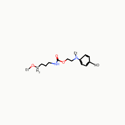 CCO[SiH2]CCCNC(=O)OCCN(CC)c1ccc(N=O)cc1